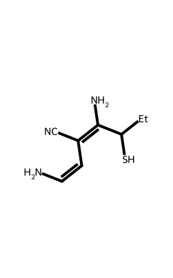 CCC(S)/C(N)=C(C#N)\C=C/N